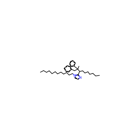 CCCCCCCCCCCCn1ccnc1C(CCCCCCC)C(C)(Cc1ccccc1)c1ccccc1